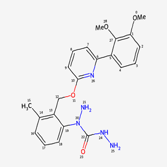 COc1cccc(-c2cccc(OCc3c(C)cccc3N(N)C(=O)NN)n2)c1OC